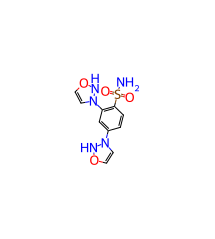 NS(=O)(=O)c1ccc(N2C=CON2)cc1N1C=CON1